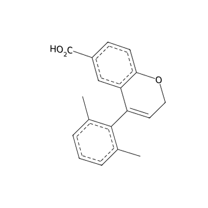 Cc1cccc(C)c1C1=CCOc2ccc(C(=O)O)cc21